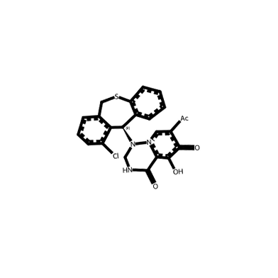 CC(=O)c1cn2c(c(O)c1=O)C(=O)NCN2[C@@H]1c2ccccc2SCc2cccc(Cl)c21